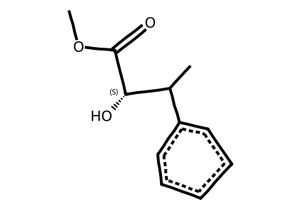 COC(=O)[C@@H](O)C(C)c1ccccc1